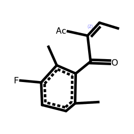 C/C=C(/C(C)=O)C(=O)c1c(C)ccc(F)c1C